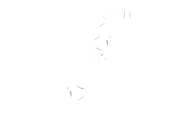 O=C(O)C=Cc1ccc(OCCCCc2ccccc2)cc1